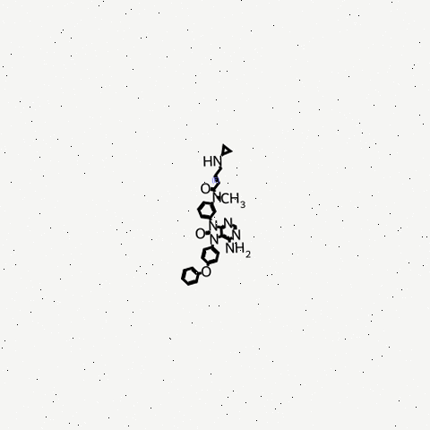 CN(C(=O)/C=C/CNC1CC1)c1cccc(-n2c(=O)n(-c3ccc(Oc4ccccc4)cc3)c3c(N)ncnc32)c1